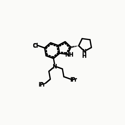 CC(C)CCN(CCC(C)C)c1cc(Cl)cc2cc([C@@H]3CCCN3)[nH]c12